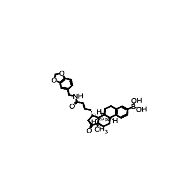 C[C@]12CC[C@@H]3c4ccc(B(O)O)cc4CC[C@H]3[C@@H]1[C@@H](CCCC(=O)NCc1ccc3c(c1)OCO3)CC2=O